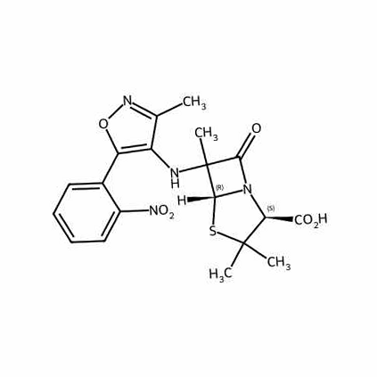 Cc1noc(-c2ccccc2[N+](=O)[O-])c1NC1(C)C(=O)N2[C@@H](C(=O)O)C(C)(C)S[C@@H]21